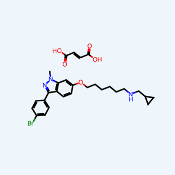 Cn1nc(-c2ccc(Br)cc2)c2ccc(OCCCCCCNCC3CC3)cc21.O=C(O)/C=C/C(=O)O